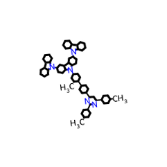 Cc1ccc(-c2cc(-c3ccc(-c4ccc(-n5c6ccc(-n7c8ccccc8c8ccccc87)cc6c6cc(-n7c8ccccc8c8ccccc87)ccc65)cc4C)cc3)nc(-c3ccc(C)cc3)n2)cc1